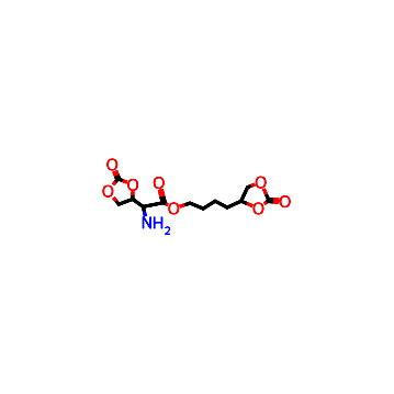 NC(C(=O)OCCCCC1COC(=O)O1)C1COC(=O)O1